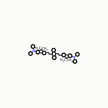 CC1(C)c2cc(/C=C/c3c4ccccc4c(/C=C/c4ccc5c(c4)C(C)(C)c4cc(N(c6ccccc6)c6ccccc6)ccc4-5)c4ccccc34)ccc2-c2ccc(N(c3ccccc3)c3ccccc3)cc21